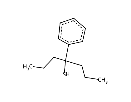 CCCC(S)(CCC)c1ccccc1